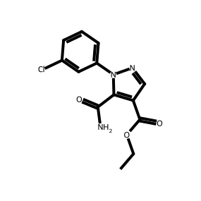 CCOC(=O)c1cnn(-c2cccc(Cl)c2)c1C(N)=O